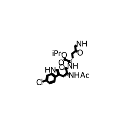 CC(=O)N[C@@H](Cc1c[nH]c2cc(Cl)ccc12)C(=O)N[C@@H](CCC(=O)C=N)C(=O)OC(C)C